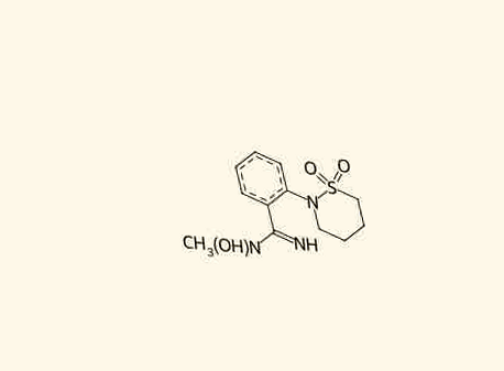 CN(O)C(=N)c1ccccc1N1CCCCS1(=O)=O